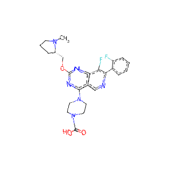 CN1CCC[C@H]1COc1nc(N2CCN(C(=O)O)CC2)c2cnc(-c3ccccc3F)c(F)c2n1